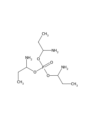 CCC(N)OP(=O)(OC(N)CC)OC(N)CC